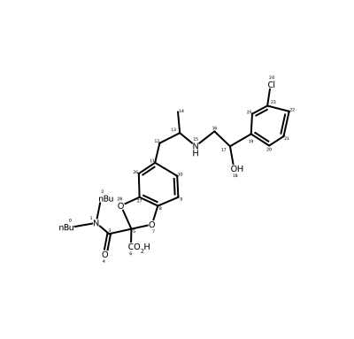 CCCCN(CCCC)C(=O)C1(C(=O)O)Oc2ccc(CC(C)NCC(O)c3cccc(Cl)c3)cc2O1